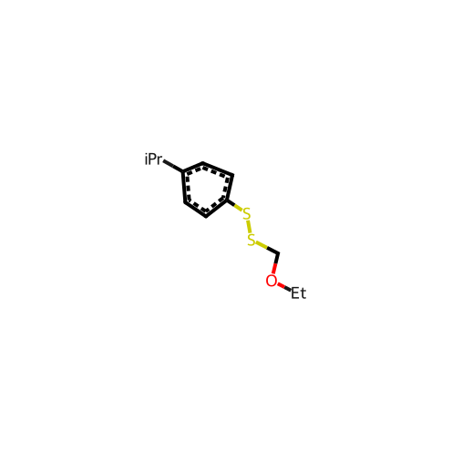 CCOCSSc1ccc(C(C)C)cc1